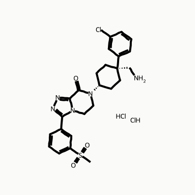 CS(=O)(=O)c1cccc(-c2nnc3n2CCN([C@H]2CC[C@](CN)(c4cccc(Cl)c4)CC2)C3=O)c1.Cl.Cl